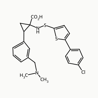 CN(C)Cc1cccc(C2CC2(NSc2ccc(-c3ccc(Cl)cc3)s2)C(=O)O)c1